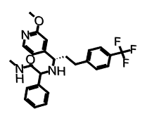 CNC(=O)C(N[C@@H](CCc1ccc(C(F)(F)F)cc1)c1ccnc(OC)c1)c1ccccc1